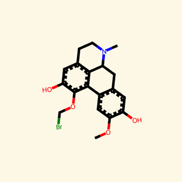 COc1cc2c(cc1O)CC1c3c(cc(O)c(OCBr)c3-2)CCN1C